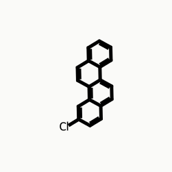 Clc1ccc2ccc3c4ccccc4ccc3c2c1